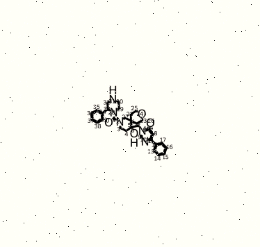 O=C(N1CCC(O)(Cn2cnc(-c3ccccc3)cc2=O)C2(CCOCC2)C1)N1CCNCC1c1ccccc1